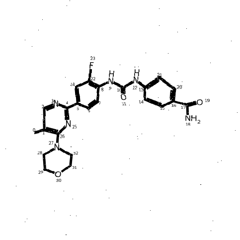 Cc1cnc(-c2ccc(NC(=O)Nc3ccc(C(N)=O)cc3)c(F)c2)nc1N1CCOCC1